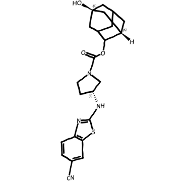 N#Cc1ccc2nc(N[C@@H]3CCN(C(=O)OC4C5CC6C[C@H]4C[C@@](O)(C6)C5)C3)sc2c1